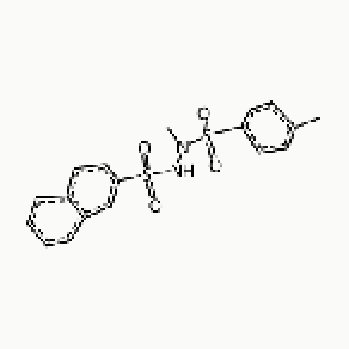 Cc1ccc(S(=O)(=O)N(C)NS(=O)(=O)c2ccc3ccccc3c2)cc1